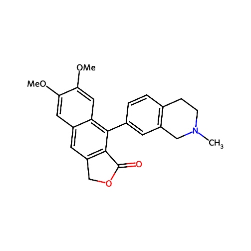 COc1cc2cc3c(c(-c4ccc5c(c4)CN(C)CC5)c2cc1OC)C(=O)OC3